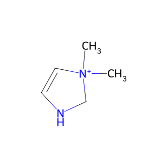 C[N+]1(C)C=CNC1